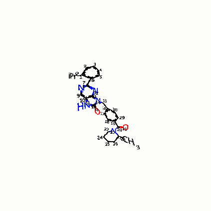 CC(C)c1ccccc1-c1ncc2[nH]c(=O)n(Cc3ccc(C(=O)N4CCCC[C@@H]4C)cc3)c2n1